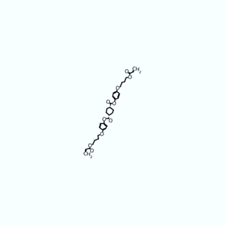 C=CC(=O)OCCCCOc1ccc(OC(=O)[C@H]2CC[C@H](C(=O)Oc3ccc(OCCCCOC(=O)C=C)cc3)CC2)cc1